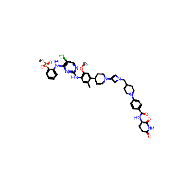 Cc1cc(Nc2ncc(Cl)c(Nc3ccccc3S(=O)(=O)C(C)C)n2)c(OC(C)C)cc1C1CCN(C2CN(CC3CCN(c4ccc(C(=O)NC5CCC(=O)NC5=O)cc4)CC3)C2)CC1